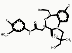 CCC(C)C[C@@H]1O[C@H](CC(=O)Nc2ccc(F)c(C(=O)O)c2)C(=O)N(CC(C)(C)CO)c2ccc(Cl)cc21